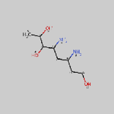 CC(O)C(O)C(N)CC(N)CCO